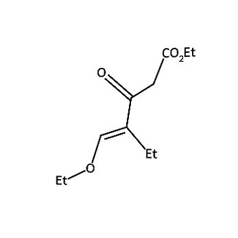 CCO/C=C(\CC)C(=O)CC(=O)OCC